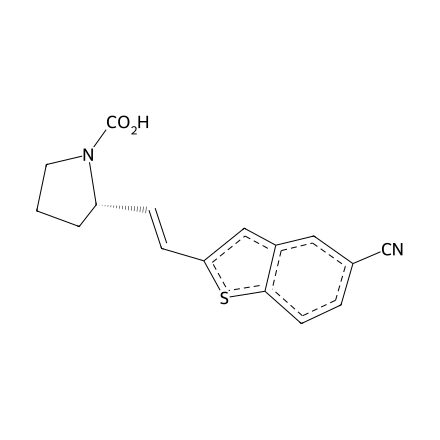 N#Cc1ccc2sc(C=C[C@@H]3CCCN3C(=O)O)cc2c1